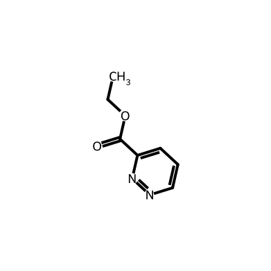 CCOC(=O)c1cccnn1